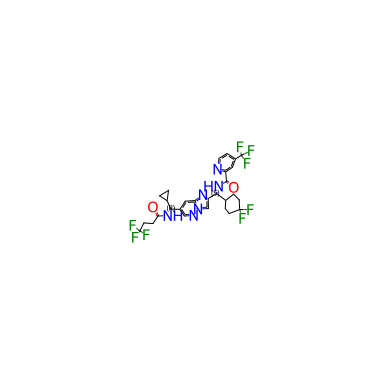 O=C(CCC(F)(F)F)N[C@@H](c1cnn2cc([C@@H](NC(=O)c3cc(C(F)(F)F)ccn3)C3CCC(F)(F)CC3)nc2c1)C1CC1